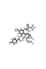 CCCC(C1CCN(c2ccc(F)cn2)CC1)N1/C(=N\C)CN(C(=O)C2CCC2)Cc2cc(Cl)ccc21